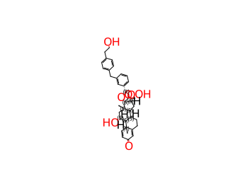 C[C@]12C=CC(=O)C=C1CC[C@@H]1[C@@H]2[C@@H](O)C[C@@]2(C)[C@H]1C[C@H]1O[C@@H](c3cccc(Cc4ccc(CCO)cc4)c3)O[C@]12C(=O)CO